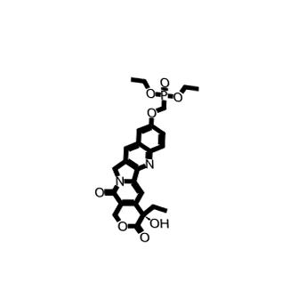 CCOP(=O)(COc1ccc2nc3c(cc2c1)Cn1c-3cc2c(c1=O)COC(=O)[C@]2(O)CC)OCC